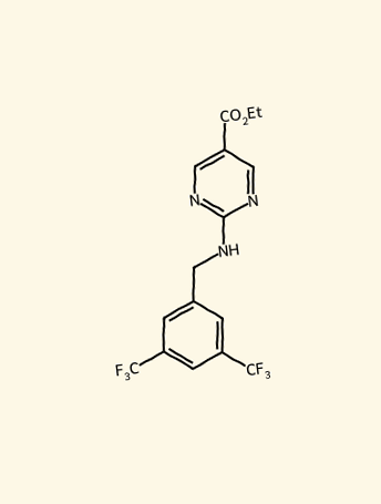 CCOC(=O)c1cnc(NCc2cc(C(F)(F)F)cc(C(F)(F)F)c2)nc1